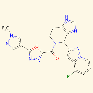 O=C(c1nnc(-c2cnn(C(F)(F)F)c2)o1)N1CCc2[nH]cnc2C1c1cc2c(F)cccn2n1